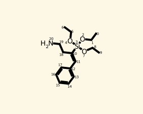 CCO[Si](OCC)(OCC)C(=Cc1ccccc1)CCN